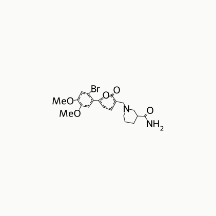 COc1cc(Br)c(-c2ccc(CN3CCCC(C(N)=O)C3)c(=O)o2)cc1OC